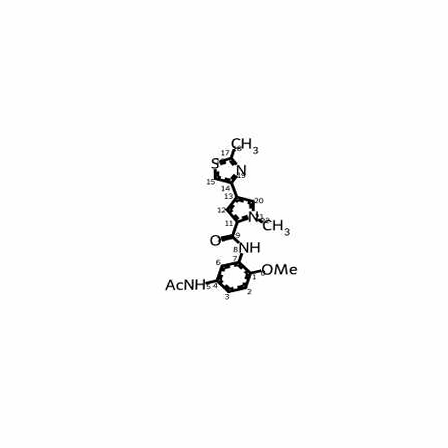 COc1ccc(NC(C)=O)cc1NC(=O)c1cc(-c2csc(C)n2)cn1C